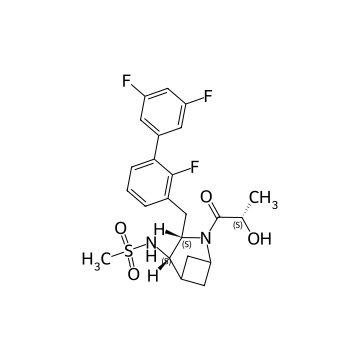 C[C@H](O)C(=O)N1C2CC(C2)[C@H](NS(C)(=O)=O)[C@@H]1Cc1cccc(-c2cc(F)cc(F)c2)c1F